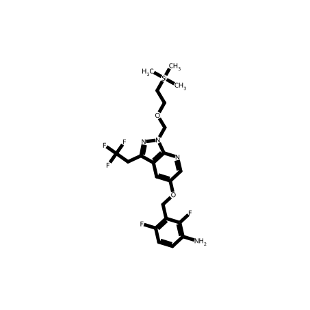 C[Si](C)(C)CCOCn1nc(CC(F)(F)F)c2cc(OCc3c(F)ccc(N)c3F)cnc21